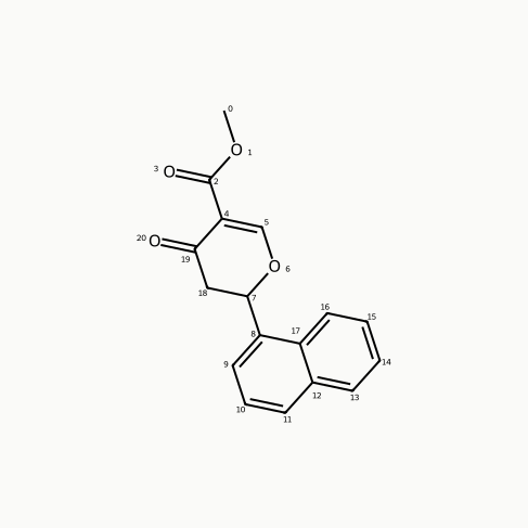 COC(=O)C1=COC(c2cccc3ccccc23)CC1=O